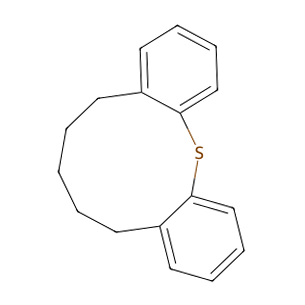 c1ccc2c(c1)CCCCCc1ccccc1S2